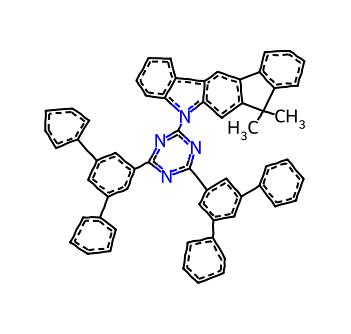 CC1(C)c2ccccc2-c2cc3c4ccccc4n(-c4nc(-c5cc(-c6ccccc6)cc(-c6ccccc6)c5)nc(-c5cc(-c6ccccc6)cc(-c6ccccc6)c5)n4)c3cc21